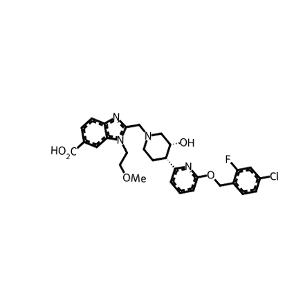 COCCn1c(CN2CC[C@@H](c3cccc(OCc4ccc(Cl)cc4F)n3)[C@@H](O)C2)nc2ccc(C(=O)O)cc21